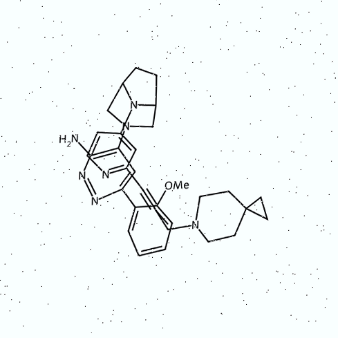 COc1ccccc1-c1cc(N2CC3CCC(C2)N3c2ccnc(C#CCN3CCC4(CC3)CC4)c2)c(N)nn1